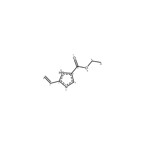 C=Cc1ncc(C(=O)OCC)[nH]1